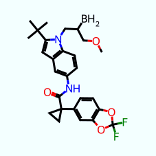 BC(COC)Cn1c(C(C)(C)C)cc2cc(NC(=O)C3(c4ccc5c(c4)OC(F)(F)O5)CC3)ccc21